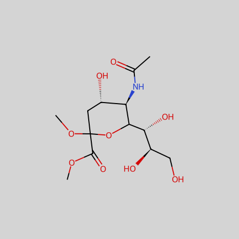 COC(=O)C1(OC)C[C@H](O)[C@@H](NC(C)=O)C([C@H](O)[C@H](O)CO)O1